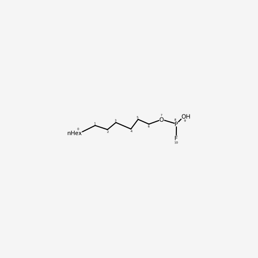 CCCCCCCCCCCCOP(O)F